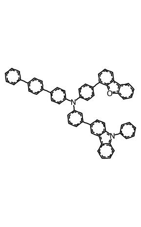 c1ccc(-c2ccc(-c3ccc(N(c4ccc(-c5cccc6c5oc5ccccc56)cc4)c4cccc(-c5ccc6c(c5)c5ccccc5n6-c5ccccc5)c4)cc3)cc2)cc1